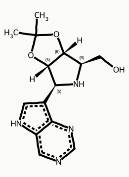 CC1(C)O[C@@H]2[C@H](O1)[C@@H](CO)N[C@H]2c1c[nH]c2cncnc12